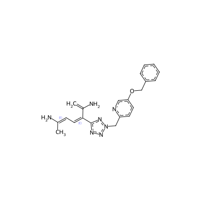 C=C(N)/C(=C\C=C(/C)N)c1nnn(Cc2ccc(OCc3ccccc3)cn2)n1